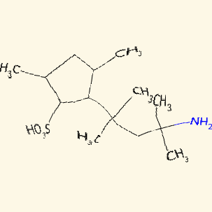 CC1CC(C)C(S(=O)(=O)O)C1C(C)(C)CC(C)(C)N